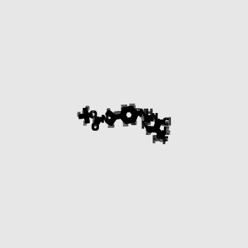 CC(C)(C)OC(=O)N1CC(c2ccc(Nc3ncc(C(F)(F)F)c(Cl)n3)cc2)C1